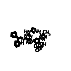 Cc1nnn([C@H]2C[C@@H](n3cnc4c(NCC(c5ccccc5)c5ccccc5)nc(N[C@@H]5CCNC5)nc43)[C@H](OC(=O)C(F)(F)F)[C@@H]2O)n1